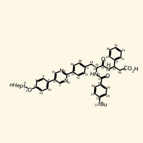 CCCCCCCOc1ccc(-c2cnc(-c3ccc(C[C@H](NC(=O)c4ccc(C(C)(C)C)cc4)C(=O)NC(CC(=O)O)c4ccccc4)cc3)nc2)cc1